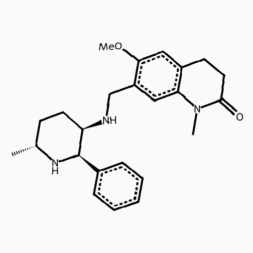 COc1cc2c(cc1CN[C@@H]1CC[C@@H](C)N[C@@H]1c1ccccc1)N(C)C(=O)CC2